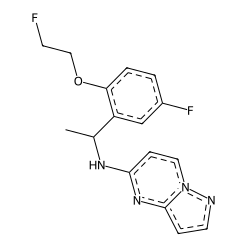 CC(Nc1ccn2nccc2n1)c1cc(F)ccc1OCCF